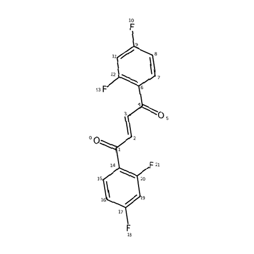 O=C(C=CC(=O)c1ccc(F)cc1F)c1ccc(F)cc1F